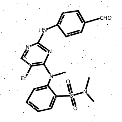 CCc1cnc(Nc2ccc(C=O)cc2)nc1N(C)c1ccccc1S(=O)(=O)N(C)C